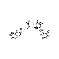 O=C(N[C@@H](CCN(CCCCc1ccc2c(n1)NCCC2)C1CC1)C(=O)O)OCc1ccccc1Cl